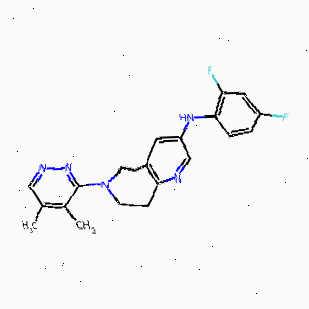 Cc1cnnc(N2CCc3ncc(Nc4ccc(F)cc4F)cc3C2)c1C